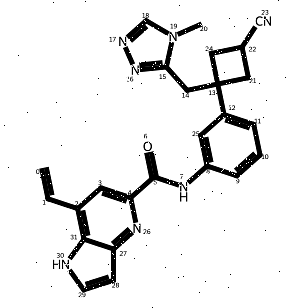 C=Cc1cc(C(=O)Nc2cccc(C3(Cc4nncn4C)CC(C#N)C3)c2)nc2cc[nH]c12